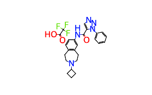 O=C(Nc1ccc2c(c1)CCN(C1CCC1)CC2)c1cnnn1-c1ccccc1.O=C(O)C(F)(F)F